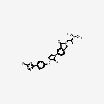 CC(C)c1noc(-c2ccc(O[C@@H]3CCN(c4ccc5c(c4)C(=O)N(CC(=O)N(C)C)C5)C3=O)cc2)n1